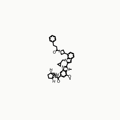 COc1cc(C(=O)N2C[C@H]3CC[C@@H]2[C@@H]3N)cc2nc(-c3cc4cccc(C5CN(C(=O)CCc6ccccc6)C5)c4n3CC3CC3)n(C)c12